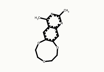 Cc1nc(C)c2cc3c(cc2n1)OCCOCCO3